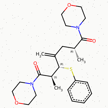 C=C(C[C@@H](C)C(=O)N1CCOCC1)[C@H](Sc1ccccc1)[C@@H](C)C(=O)N1CCOCC1